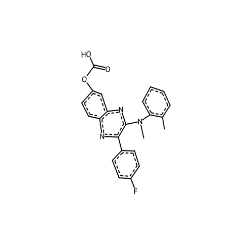 Cc1ccccc1N(C)c1nc2cc(OC(=O)O)ccc2nc1-c1ccc(F)cc1